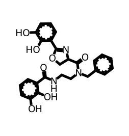 O=C(NCCN(Cc1ccccc1)C(=O)C1COC(c2cccc(O)c2O)=N1)c1cccc(O)c1O